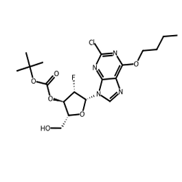 CCCCOc1nc(Cl)nc2c1ncn2[C@@H]1O[C@H](CO)[C@@H](OC(=O)OC(C)(C)C)[C@@H]1F